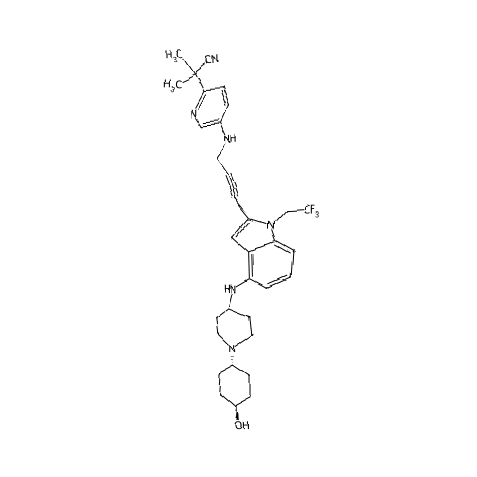 CC(C)(C#N)c1ccc(NCC#Cc2cc3c(NC4CCN([C@H]5CC[C@H](O)CC5)CC4)cccc3n2CC(F)(F)F)cn1